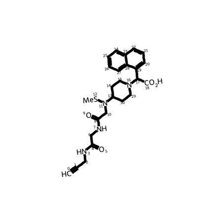 C#CCNC(=O)CNC(=O)CN(SC)C1CCN(C(C(=O)O)c2cccc3ccccc23)CC1